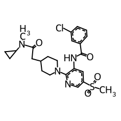 CN(C(=O)CC1CCN(c2ncc(S(C)(=O)=O)cc2NC(=O)c2cccc(Cl)c2)CC1)C1CC1